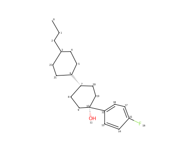 CCCC1CCC([C@H]2CC[C@](O)(c3ccc(F)cc3)CC2)CC1